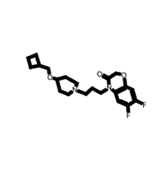 O=C1COc2cc(F)c(F)cc2N1CCCN1CCC(OCC2CCC2)CC1